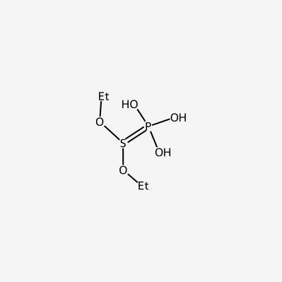 CCOS(OCC)=P(O)(O)O